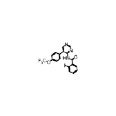 O=C(Nc1ncncc1-c1ccc(OC(F)(F)F)cc1)c1ccccc1I